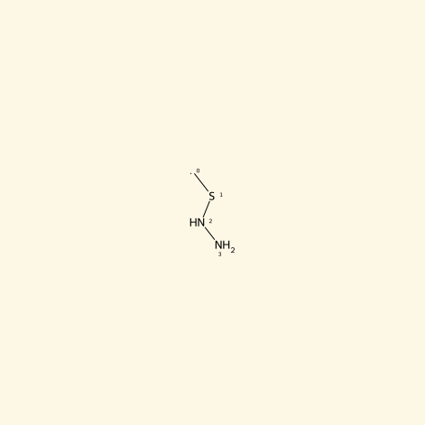 [CH2]SNN